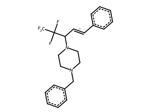 FC(F)(F)C(F)(F)C(/C=C/c1ccccc1)N1CCN(Cc2ccccc2)CC1